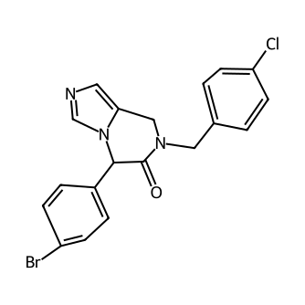 O=C1C(c2ccc(Br)cc2)n2cncc2CN1Cc1ccc(Cl)cc1